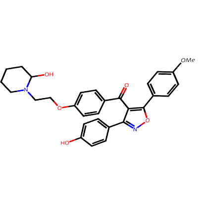 COc1ccc(-c2onc(-c3ccc(O)cc3)c2C(=O)c2ccc(OCCN3CCCCC3O)cc2)cc1